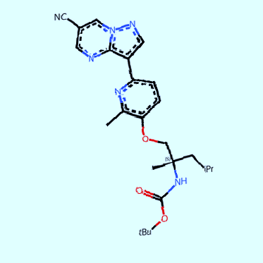 Cc1nc(-c2cnn3cc(C#N)cnc23)ccc1OC[C@](C)(CC(C)C)NC(=O)OC(C)(C)C